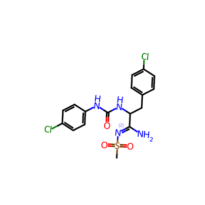 CS(=O)(=O)/N=C(\N)C(Cc1ccc(Cl)cc1)NC(=O)Nc1ccc(Cl)cc1